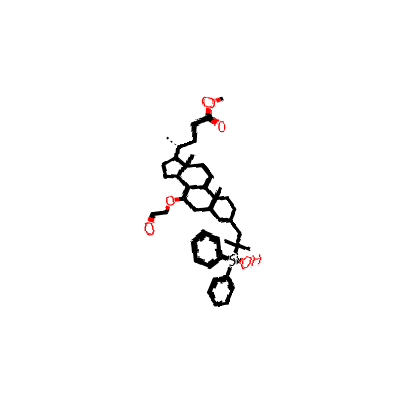 COC(=O)CC[C@@H](C)C1CCC2C3C(OCC=O)CC4CC(CC(C)(C)[Si](O)(c5ccccc5)c5ccccc5)CCC4(C)C3CCC21C